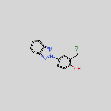 Oc1ccc(-n2nc3ccccc3n2)cc1CCl